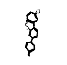 Cc1ccc(-c2ccc3c(c2)sc2ccc(Cl)cc23)cc1